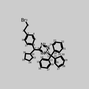 BrCCc1ccc(C(c2nnn(C(c3ccccc3)(c3ccccc3)c3ccccc3)n2)C2CCCC2)cc1